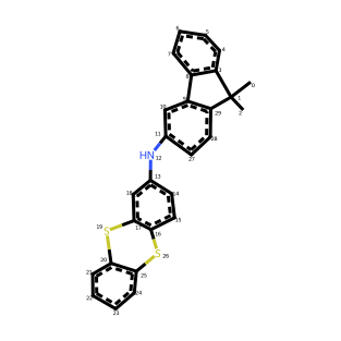 CC1(C)c2ccccc2-c2cc(Nc3ccc4c(c3)Sc3ccccc3S4)ccc21